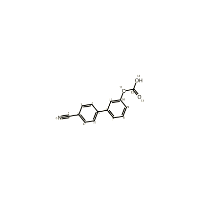 N#Cc1ccc(-c2cccc(OC(=O)O)c2)cc1